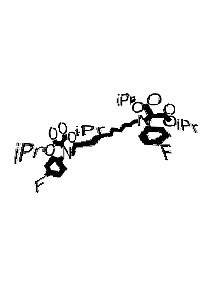 CC(C)OC(=O)C(C(=O)OC(C)C)N(CCCCCCCCCCN(c1ccc(F)cc1)C(C(=O)OC(C)C)C(=O)OC(C)C)c1ccc(F)cc1